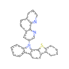 c1cnc2c(c1)ccc1cc(-n3c4ccccc4c4ccc5c6ccccc6sc5c43)cnc12